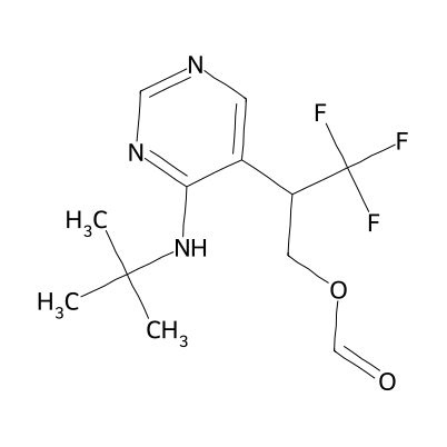 CC(C)(C)Nc1ncncc1C(COC=O)C(F)(F)F